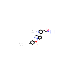 COc1ccc(C(=O)N2c3ccccc3[C@H](N(C(C)=O)c3ccc(CCC(N)=O)cc3)C[C@@H]2C)cc1